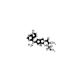 C[C@@H](NS(C)(=O)=O)C(=O)N1CC2CC(N(C)c3ncnc4[nH]ccc34)C[C@@H]2C1